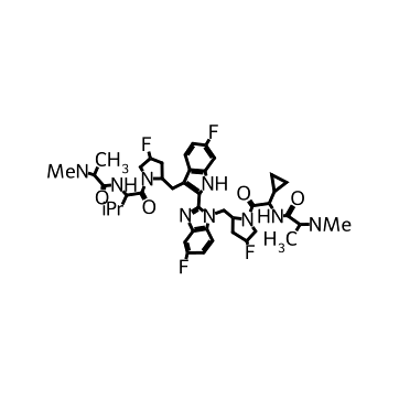 CNC(C)C(=O)NC(C(=O)N1CC(F)CC1Cc1c(-c2nc3cc(F)ccc3n2CC2CC(F)CN2C(=O)C(NC(=O)C(C)NC)C2CC2)[nH]c2cc(F)ccc12)C(C)C